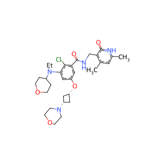 CCN(c1cc(O[C@H]2C[C@@H](N3CCOCC3)C2)cc(C(=O)NCc2c(C)cc(C)[nH]c2=O)c1Cl)C1CCOCC1